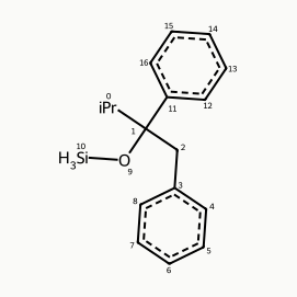 CC(C)C(Cc1ccccc1)(O[SiH3])c1ccccc1